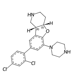 Clc1ccc(-c2cc3c(c(N4CCNCC4)c2)O[C@H]2CCNC[C@@H]32)c(Cl)c1